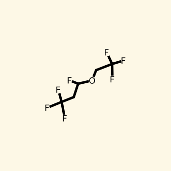 FC(CC(F)(F)F)OCC(F)(F)F